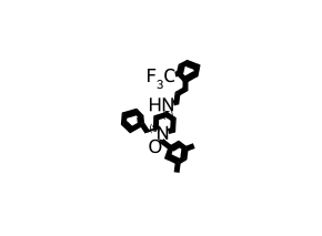 Cc1cc(C)cc(C(=O)N2CC[C@H](NCCCc3ccccc3C(F)(F)F)C[C@@H]2Cc2ccccc2)c1